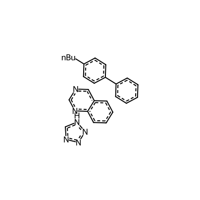 CCCCc1ccc(-c2ccccc2)cc1.c1ccc2ncncc2c1.c1nnn[nH]1